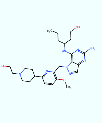 CCCC(CCO)Nc1nc(N)nc2cnn(Cc3nc(C4CCN(CCO)CC4)ccc3OC)c12